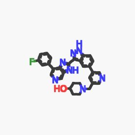 OC1CCN(Cc2cncc(-c3ccc4[nH]nc(-c5nc6c(-c7cccc(F)c7)cncc6[nH]5)c4c3)c2)CC1